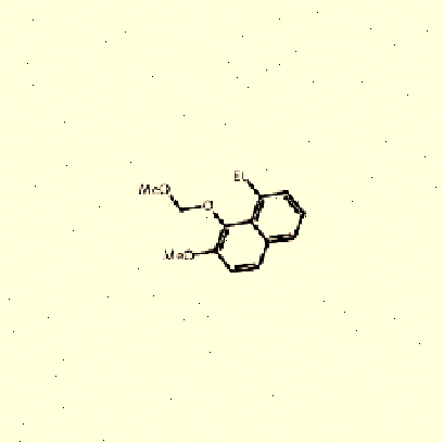 CCc1cccc2ccc(OC)c(OCOC)c12